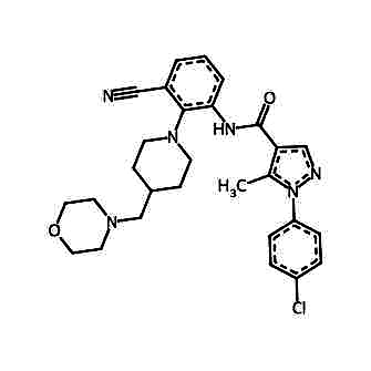 Cc1c(C(=O)Nc2cccc(C#N)c2N2CCC(CN3CCOCC3)CC2)cnn1-c1ccc(Cl)cc1